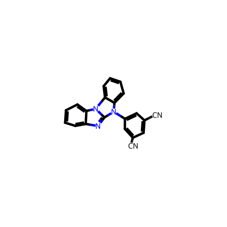 N#Cc1cc(C#N)cc(-n2c3ccccc3n3c4ccccc4nc23)c1